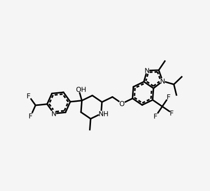 Cc1nc2cc(OCC3CC(O)(c4ccc(C(F)F)nc4)CC(C)N3)cc(C(F)(F)F)c2n1C(C)C